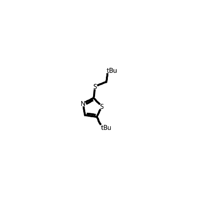 CC(C)(C)CSc1ncc(C(C)(C)C)s1